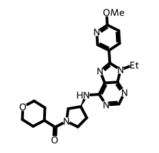 CCn1c(-c2ccc(OC)nc2)nc2c(N[C@H]3CCN(C(=O)C4CCOCC4)C3)ncnc21